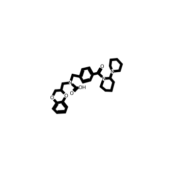 O=C(O)N(Cc1ccc(C(=O)N2CCCCC2N2CCCCC2)cc1)CC1COc2ccccc2O1